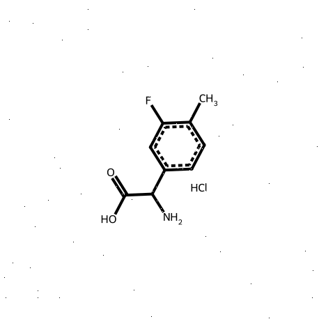 Cc1ccc(C(N)C(=O)O)cc1F.Cl